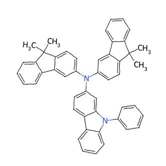 CC1(C)c2ccccc2-c2cc(N(c3ccc4c(c3)-c3ccccc3C4(C)C)c3ccc4c5ccccc5n(-c5ccccc5)c4c3)ccc21